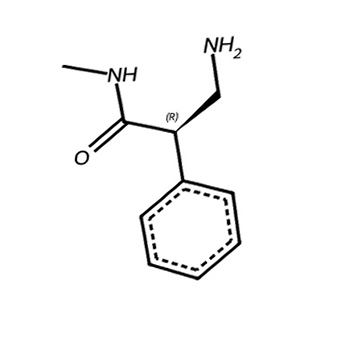 CNC(=O)[C@@H](CN)c1ccccc1